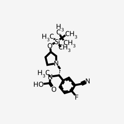 CN(C(=O)O)[C@H](CN1CCC(O[Si](C)(C)C(C)(C)C)C1)c1ccc(F)c(C#N)c1